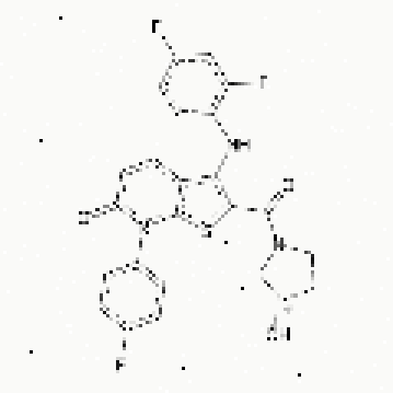 O=C(c1sc2c(ccc(=O)n2-c2ccc(F)cc2)c1Nc1ccc(F)cc1F)N1CC[C@H](O)C1